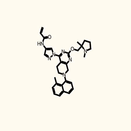 C=CC(=O)Nc1cnn(-c2nc(OCC3(C)CCCN3C)nc3c2CCN(c2cccc4cccc(C)c24)C3)c1